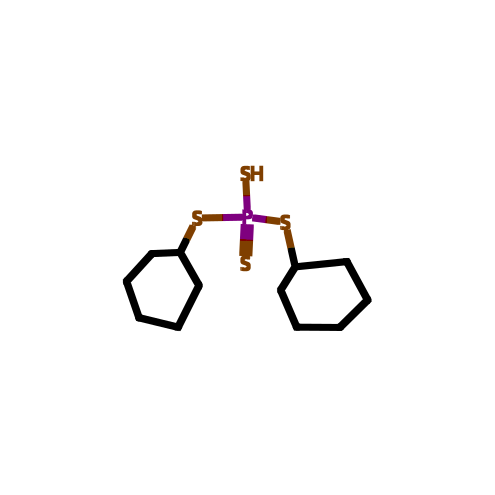 S=P(S)(SC1CCCCC1)SC1CCCCC1